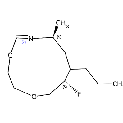 CCCC1C[C@H](C)/N=C\CCCOC[C@H]1F